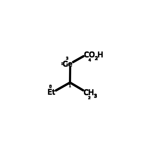 CC[CH](C)[Ge][C](=O)O